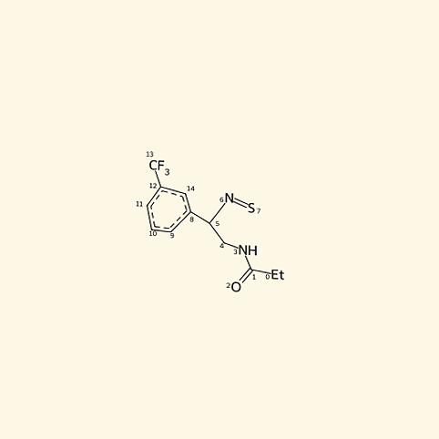 CCC(=O)NCC(N=S)c1cccc(C(F)(F)F)c1